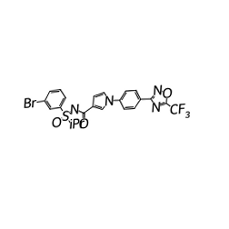 CC(C)S(=O)(=NC(=O)c1ccn(-c2ccc(-c3noc(C(F)(F)F)n3)cc2)c1)c1cccc(Br)c1